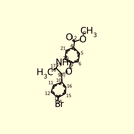 COC(=O)c1ccc(O[C@H](c2ccc(Br)cc2)C(C)N)cc1